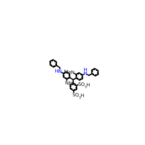 CNc1cc(NCc2ccccc2)ccc1C(c1ccc(NCc2ccccc2)cc1NC)c1ccc(S(=O)(=O)O)cc1S(=O)(=O)O